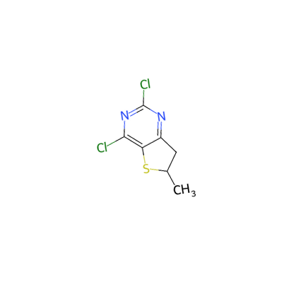 CC1Cc2nc(Cl)nc(Cl)c2S1